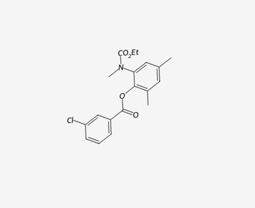 CCOC(=O)N(C)c1cc(C)cc(C)c1OC(=O)c1cccc(Cl)c1